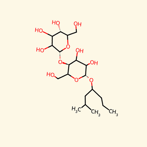 CCCC(CC(C)C)O[C@@H]1OC(CO)[C@@H](O[C@H]2OC(CO)[C@@H](O)C(O)C2O)C(O)C1O